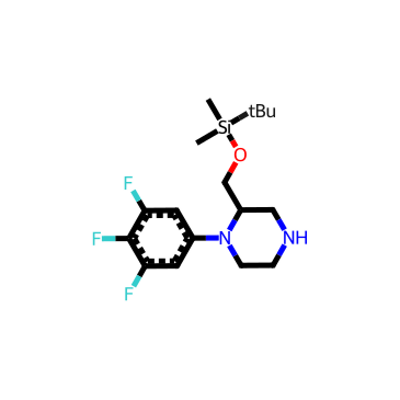 CC(C)(C)[Si](C)(C)OCC1CNCCN1c1cc(F)c(F)c(F)c1